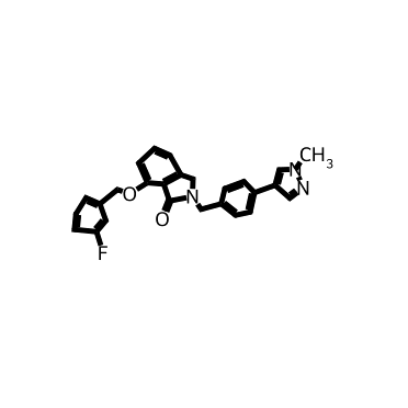 Cn1cc(-c2ccc(CN3Cc4cccc(OCc5cccc(F)c5)c4C3=O)cc2)cn1